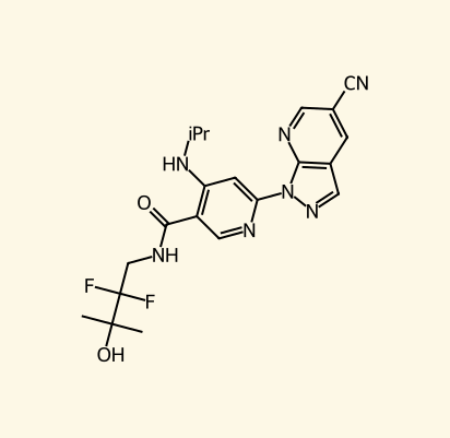 CC(C)Nc1cc(-n2ncc3cc(C#N)cnc32)ncc1C(=O)NCC(F)(F)C(C)(C)O